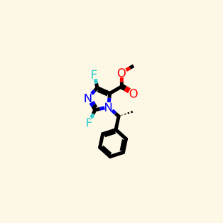 COC(=O)c1c(F)nc(F)n1[C@H](C)c1ccccc1